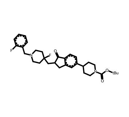 CC(C)(C)OC(=O)N1CCC(c2ccc3c(c2)CC(CC2(F)CCN(Cc4ccccc4F)CC2)C3=O)CC1